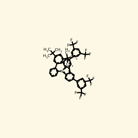 CC(C)(C)c1cc(-c2ccccc2-n2c3ccc(-c4cc(C(F)(F)F)cc(C(F)(F)F)c4)cc3c3cc(-c4cc(C(F)(F)F)cc(C(F)(F)F)c4)ccc32)cc(C(C)(C)C)c1